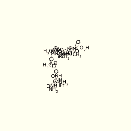 CC[C@H](C)[C@@H]([C@@H](CC(=O)N1CCC[C@H]1[C@H](OC)[C@@H](C)C(=O)N[C@@H](Cc1ccccc1)C(=O)O)OC)N(C)C(=O)[C@@H](NC(=O)[C@H](C(C)C)N(C)CCc1ccc(N(C)C(=O)OCc2ccc(NC(=O)[C@H](CCCNC(N)=O)NC(=O)[C@@H](N)C(C)C)cc2)cc1)C(C)C